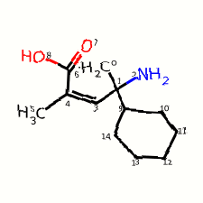 [CH2]C(N)(C=C(C)C(=O)O)C1CCCCC1